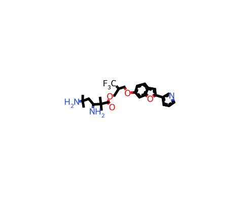 CC(C)(N)CC(N)C(C)(C)C(=O)OCC(COc1ccc2cc(-c3cccnc3)oc2c1)C(F)(F)F